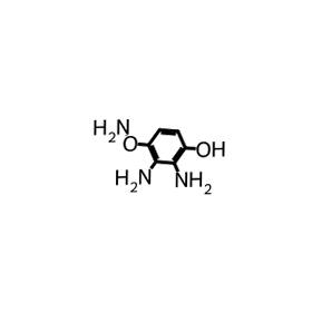 NOc1ccc(O)c(N)c1N